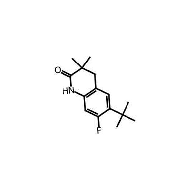 CC1(C)Cc2cc(C(C)(C)C)c(F)cc2NC1=O